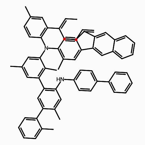 C=C/C=C\C(=C/C)c1cc(C)ccc1N(c1cc2c(cc1C)-c1cc3ccccc3cc1C2)c1cc(C)cc(-c2cc(-c3ccccc3C)c(C)cc2Nc2ccc(-c3ccccc3)cc2)c1C